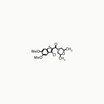 COc1cc2sc(C(=O)N3CC(C)OC(C)C3)c(Cl)c2cc1OC